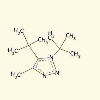 Cc1nnn(C(C)(C)C)c1C(C)(C)C